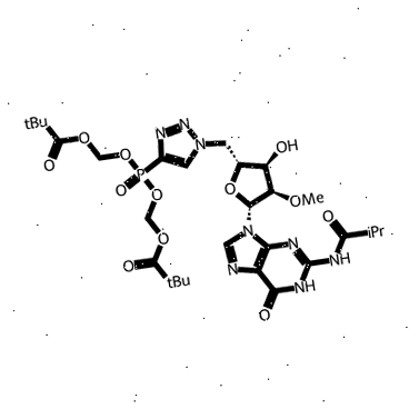 CO[C@@H]1[C@H](O)[C@@H](Cn2cc(P(=O)(OCOC(=O)C(C)(C)C)OCOC(=O)C(C)(C)C)nn2)O[C@H]1n1cnc2c(=O)[nH]c(NC(=O)C(C)C)nc21